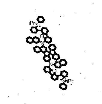 CC(C)[Si](C)(c1ccccc1)c1ccccc1-c1cccc2c1oc1c(N(c3ccc4c(c3)C3(c5ccccc5-c5ccccc53)c3cc(N(c5ccc6ccccc6c5)c5cccc6c5oc5c(-c7ccccc7[Si](C)(c7ccccc7)C(C)C)cccc56)c5ccccc5c3-4)c3ccc4ccccc4c3)cccc12